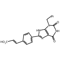 CC(C)Cn1c(=O)[nH]c(=O)c2nc(-c3ccc(C=CC(=O)O)cc3)[nH]c21